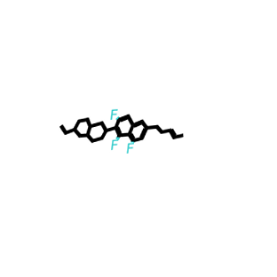 CC=CCCc1cc(F)c2c(F)c(C3CCC4CC(CC)CCC4C3)c(F)cc2c1